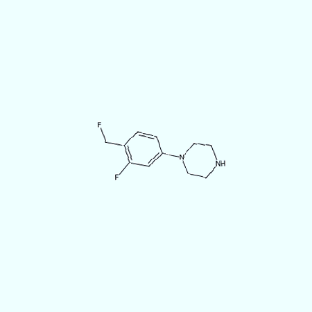 FCc1ccc(N2CCNCC2)cc1F